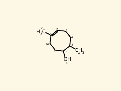 CC1=CCCC(C)C(O)CC1